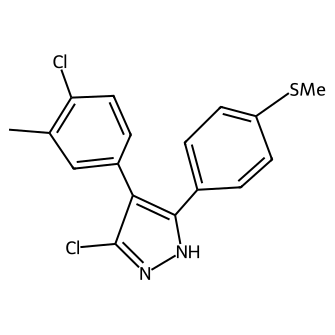 CSc1ccc(-c2[nH]nc(Cl)c2-c2ccc(Cl)c(C)c2)cc1